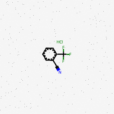 Cl.N#Cc1ccccc1C(F)(F)F